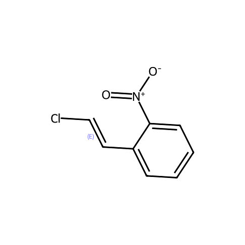 O=[N+]([O-])c1ccccc1/C=C/Cl